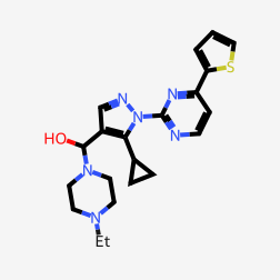 CCN1CCN(C(O)c2cnn(-c3nccc(-c4cccs4)n3)c2C2CC2)CC1